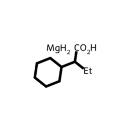 CCC(C(=O)O)C1CCCCC1.[MgH2]